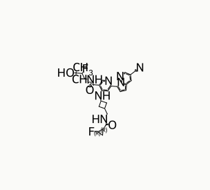 CC(C)(O)C(F)CNC(=O)c1cnc(-c2ccc3cc(C#N)cnn23)cc1NC1CC(CNC(=O)[C@H]2C[C@H]2F)C1